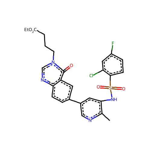 CCOC(=O)CCCn1cnc2ccc(-c3cnc(C)c(NS(=O)(=O)c4ccc(F)cc4Cl)c3)cc2c1=O